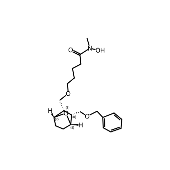 CN(O)C(=O)CCCCOC[C@@H]1[C@H](COCc2ccccc2)[C@@H]2CC[C@H]1O2